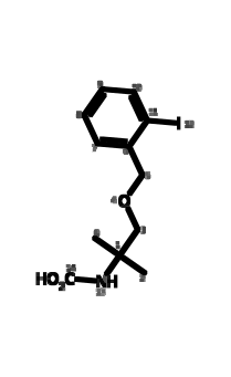 CC(C)(COCc1ccccc1I)NC(=O)O